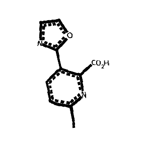 Cc1ccc(-c2ncco2)c(C(=O)O)n1